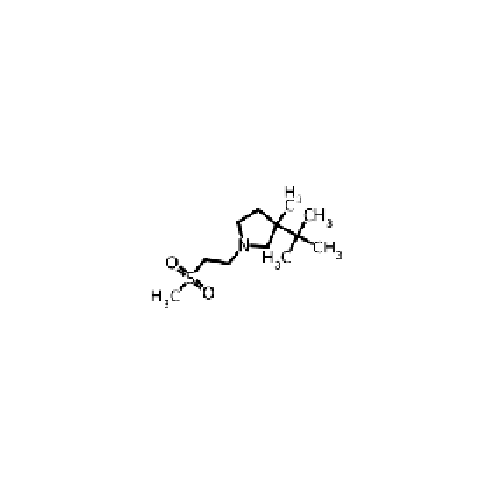 CC(C)(C)C1(C)CCN(CCS(C)(=O)=O)C1